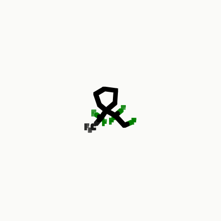 FCC(F)(F)C1(C(F)(F)C(F)(F)F)CCCCC1